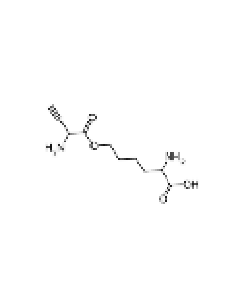 C#CC(N)C(=O)OCCCCC(N)C(=O)O